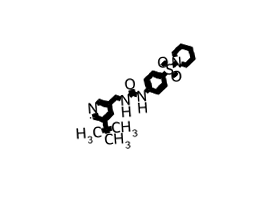 CC(C)(C)c1[c]ncc(CNC(=O)Nc2ccc(S(=O)(=O)N3CCCCC3)cc2)c1